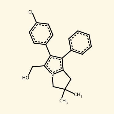 CC1(C)Cc2c(-c3ccccc3)c(-c3ccc(Cl)cc3)c(CO)n2C1